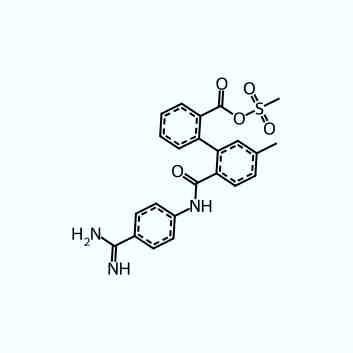 Cc1ccc(C(=O)Nc2ccc(C(=N)N)cc2)c(-c2ccccc2C(=O)OS(C)(=O)=O)c1